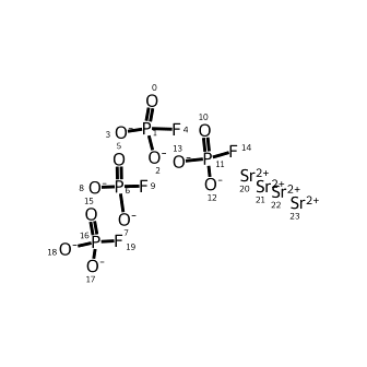 O=P([O-])([O-])F.O=P([O-])([O-])F.O=P([O-])([O-])F.O=P([O-])([O-])F.[Sr+2].[Sr+2].[Sr+2].[Sr+2]